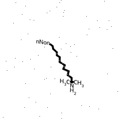 CCCCCCCCCCCCCCCCCCCCC(C)(C)N